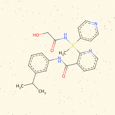 CC(C)c1cccc(NC(=O)c2cccnc2S(C)(NC(=O)CO)c2ccncc2)c1